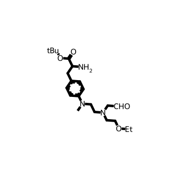 CCOCCN(CC=O)CCN(C)c1ccc(CC(N)C(=O)OC(C)(C)C)cc1